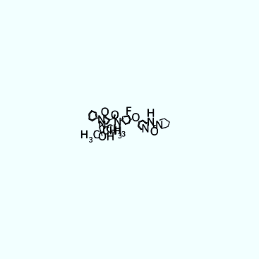 Cc1c(C(=O)Nc2ccc(Oc3ccnc(NC(=O)N4CCCCC4)c3)c(F)c2)c(=O)n(-c2ccccc2)n1CC(C)(C)O